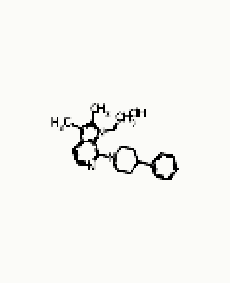 CCn1c(C)c(C)c2ccnc(N3CCC(c4ccccc4)CC3)c21.Cl